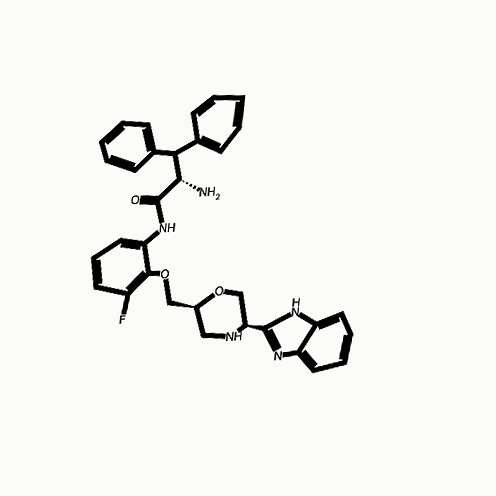 N[C@H](C(=O)Nc1cccc(F)c1OC[C@@H]1CN[C@H](c2nc3ccccc3[nH]2)CO1)C(c1ccccc1)c1ccccc1